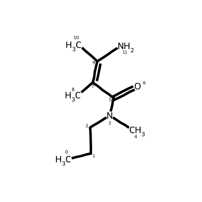 CCCN(C)C(=O)/C(C)=C(/C)N